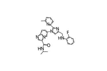 Cc1cccc(-c2nc(CNc3ccccc3F)cn2-c2ccc3ncc(C(=O)NC(C)C)n3c2)n1